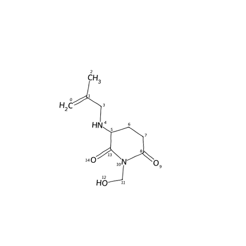 C=C(C)CNC1CCC(=O)N(CO)C1=O